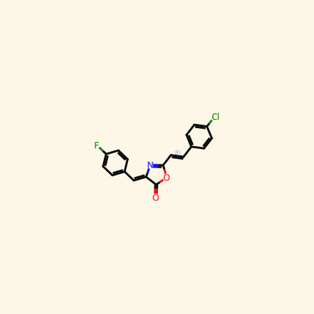 O=C1OC(/C=C/c2ccc(Cl)cc2)=NC1=Cc1ccc(F)cc1